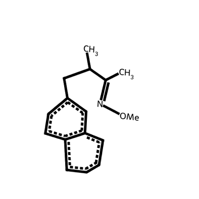 CON=C(C)C(C)Cc1ccc2ccccc2c1